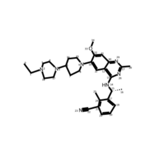 CCN1CCN(C2CCN(c3cc4c(N[C@H](C)c5cccc(C#N)c5C)nc(C)nc4cc3OC)CC2)CC1